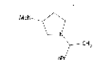 CCCC(C)N1CCC(NC)C1